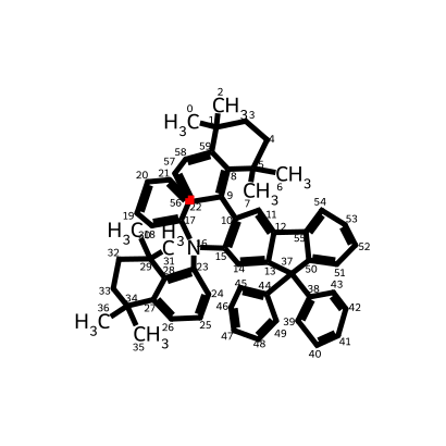 CC1(C)CCC(C)(C)c2c(-c3cc4c(cc3N(c3ccccc3)c3cccc5c3C(C)(C)CCC5(C)C)C(c3ccccc3)(c3ccccc3)c3ccccc3-4)cccc21